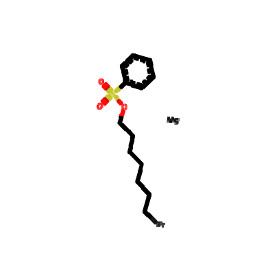 CC(C)CCCCCCCOS(=O)(=O)c1ccccc1.[Mg]